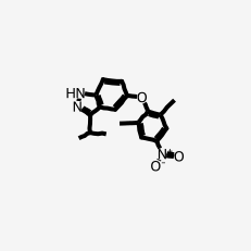 Cc1cc([N+](=O)[O-])cc(C)c1Oc1ccc2[nH]nc(C(C)C)c2c1